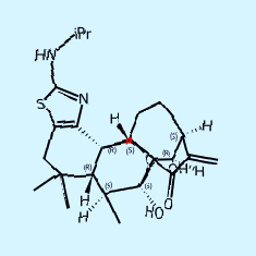 C=C1C(=O)C23[C@H](O)[C@H]1CC[C@H]2[C@@]12CO[C@@]3(O)[C@@H](C)[C@@H]1C(C)(C)Cc1sc(NC(C)C)nc12